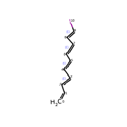 C=C/C=C/C=C/C=C/C=C/I